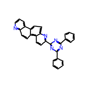 c1ccc(-c2nc(-c3ccccc3)nc(-c3ccc4c(ccc5c6cccnc6ccc45)n3)n2)cc1